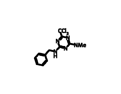 CNc1nc(NCc2ccccc2)nc(C(Cl)(Cl)Cl)n1